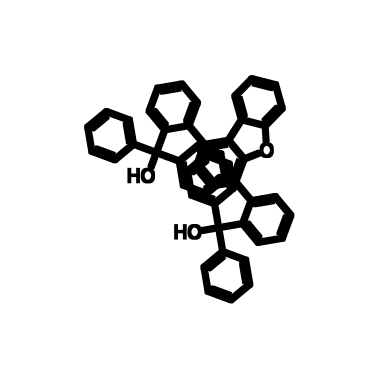 OC(c1ccccc1)(c1ccccc1)c1ccccc1-c1ccc(-c2ccccc2C(O)(c2ccccc2)c2ccccc2)c2c1oc1ccccc12